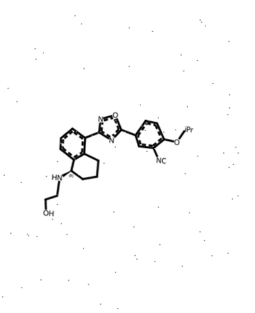 [C-]#[N+]c1cc(-c2nc(-c3cccc4c3CCC[C@H]4NCCO)no2)ccc1OC(C)C